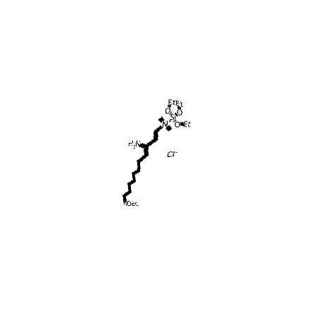 CCCCCCCCCCCCCCCCCCC(N)CC[N+](C)(C)[Si](OCC)(OCC)OCC.[Cl-]